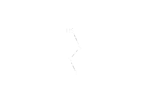 SSSI